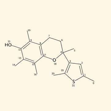 Cc1cc(C2(C)CCc3c(C)c(O)c(C)c(C)c3O2)c(C)s1